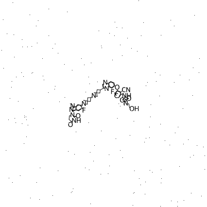 CN(CCO)S(=O)(=O)Nc1ccc(F)c(Oc2ccc3ncc(C4CC5(C4)CN(C4CC6(C4)CN(c4cc7c(cc4F)c(N4CCC(=O)NC4=O)nn7C)C6)C5)nc3c2)c1C#N